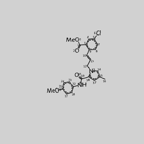 COC(=O)c1cc(Cl)ccc1C=CCn1cc(C)cc1C(=O)Nc1ccc(OC)cc1